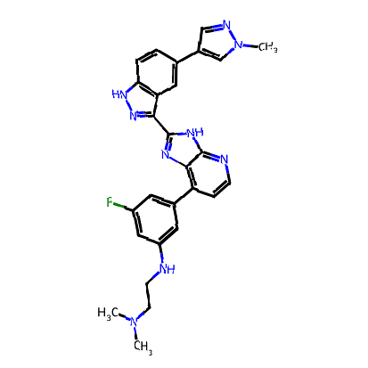 CN(C)CCNc1cc(F)cc(-c2ccnc3[nH]c(-c4n[nH]c5ccc(-c6cnn(C)c6)cc45)nc23)c1